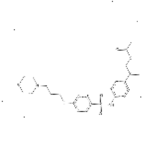 C=C(CSC(C)=O)c1ccc(NS(=O)(=O)c2ccc(OCCCN3CCOCC3)cc2)nc1